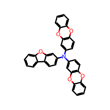 c1ccc2c(c1)Oc1ccc(N(c3ccc4c(c3)Oc3ccccc3O4)c3ccc4c(c3)oc3ccccc34)cc1O2